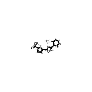 Cc1cccnc1-c1noc(-c2ccc(C(=O)C(F)(F)F)s2)n1